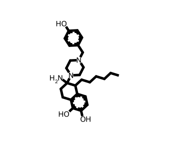 CCCCCCC1c2ccc(O)c(O)c2CCC1(N)N1CCN(Cc2ccc(O)cc2)CC1